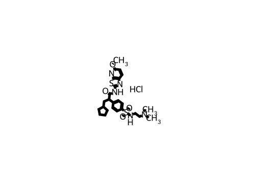 COc1ccc2nc(NC(=O)C(CC3CCCC3)c3ccc(S(=O)(=O)NCCN(C)C)cc3)sc2n1.Cl